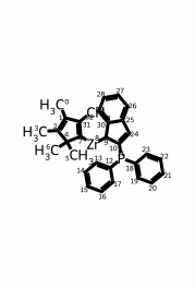 CC1=C(C)C(C)(C)[C]([Zr][CH]2C(P(c3ccccc3)c3ccccc3)=Cc3ccccc32)=C1C